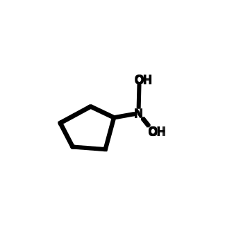 ON(O)C1CCCC1